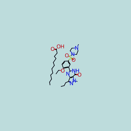 CCCCCCCCCCCC(=O)O.CCCc1nn(C)c2c(=O)[nH]c(-c3cc(S(=O)(=O)N4CCN(C)CC4)ccc3OCC)nc12